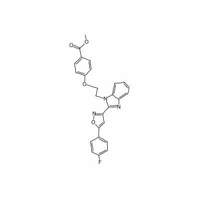 COC(=O)c1ccc(OCCn2c(-c3cc(-c4ccc(F)cc4)on3)nc3ccccc32)cc1